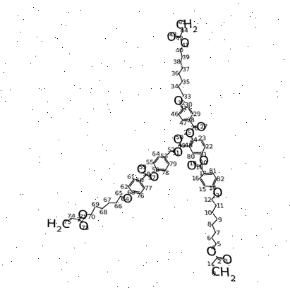 C=CC(=O)OCCCCCCCCOc1ccc(C(=O)Oc2ccc(OC(=O)c3ccc(OCCCCCCCCOC(=O)C=C)cc3)c(C(=O)OCc3ccc(OC(=O)c4ccc(OCCCCCCOC(=O)C=C)cc4)cc3)c2)cc1